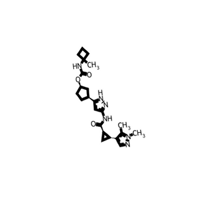 Cc1c([C@@H]2C[C@H]2C(=O)Nc2cc([C@H]3CC[C@@H](OC(=O)NC4(C)CCC4)C3)[nH]n2)cnn1C